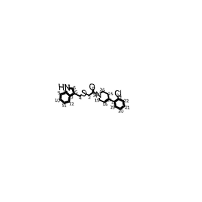 O=C(CSCc1c[nH]c2ccccc12)N1CC=C(c2ccccc2Cl)CC1